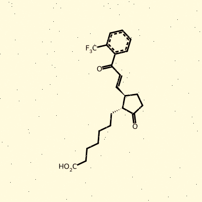 O=C(O)CCCCCC[C@H]1C(=O)CC[C@@H]1C=CC(=O)c1ccccc1C(F)(F)F